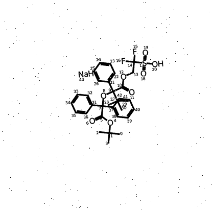 CC(C)(C)OC(=O)C(OC(C(=O)OCC(F)(F)S(=O)(=O)O)(c1ccccc1)C(C)(C)C)(c1ccccc1)c1ccccc1.[NaH]